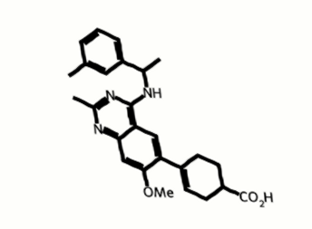 COc1cc2nc(C)nc(NC(C)c3cccc(C)c3)c2cc1C1=CCC(C(=O)O)CC1